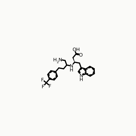 NCC(CCc1ccc(C(F)(F)F)cc1)N[C@@H](CC(=O)O)Cc1c[nH]c2ccccc12